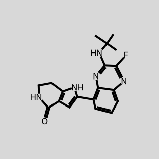 CC(C)(C)Nc1nc2c(-c3cc4c([nH]3)CCNC4=O)cccc2nc1F